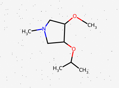 COC1CN(C)CC1OC(C)C